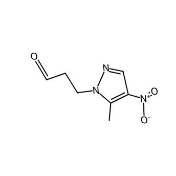 Cc1c([N+](=O)[O-])cnn1CCC=O